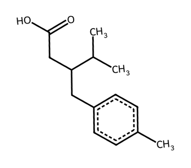 Cc1ccc(CC(CC(=O)O)C(C)C)cc1